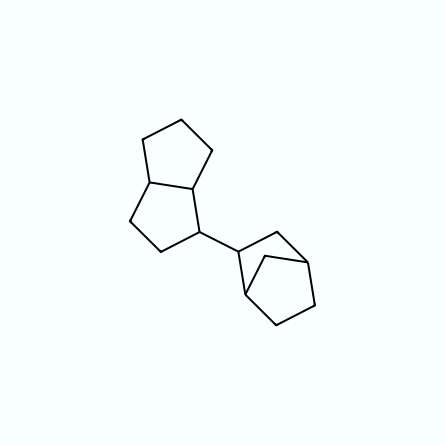 C1CC2CCC(C3CC4CCC3C4)C2C1